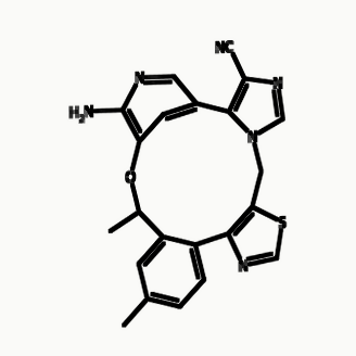 Cc1ccc2c(c1)C(C)Oc1cc(cnc1N)-c1c(C#N)ncn1Cc1scnc1-2